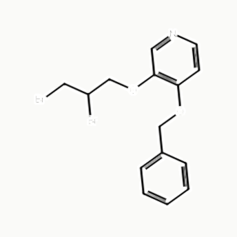 BrCC(Br)COc1cnccc1OCc1ccccc1